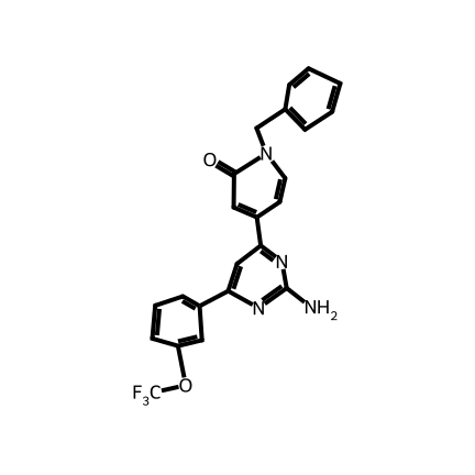 Nc1nc(-c2cccc(OC(F)(F)F)c2)cc(-c2ccn(Cc3ccccc3)c(=O)c2)n1